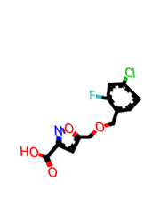 O=C(O)c1cc(COCc2ccc(Cl)cc2F)on1